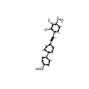 CCCCCCc1ccc(-c2ccc(C#Cc3ccc(OCC)c(F)c3F)cc2)cc1